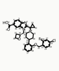 O=C(O)c1ccc2nc(C3(N4CCC(c5ccccc5OCc5ccc(Cl)cc5F)CC4)CC3)n(C[C@@H]3CCO3)c2c1